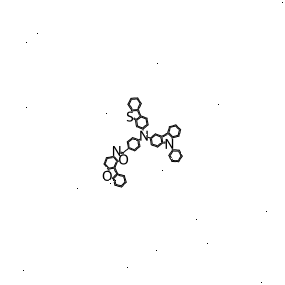 c1ccc(-n2c3ccccc3c3cc(N(c4ccc(-c5nc6ccc7oc8ccccc8c7c6o5)cc4)c4ccc5c(c4)sc4ccccc45)ccc32)cc1